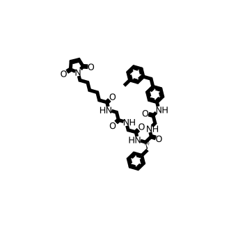 Cc1cccc(Cc2ccc(NC(=O)CNC(=O)[C@H](Cc3ccccc3)NC(=O)CNC(=O)CNC(=O)CCCCCN3C(=O)C=CC3=O)cc2)c1